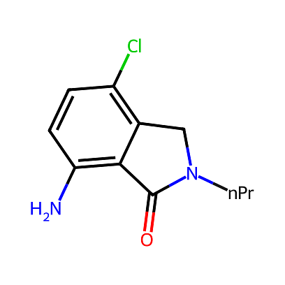 CCCN1Cc2c(Cl)ccc(N)c2C1=O